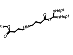 CCCCCCCC(CCCCCCC)OC(=O)CCCNCCCC(=O)OC(C)(C)C